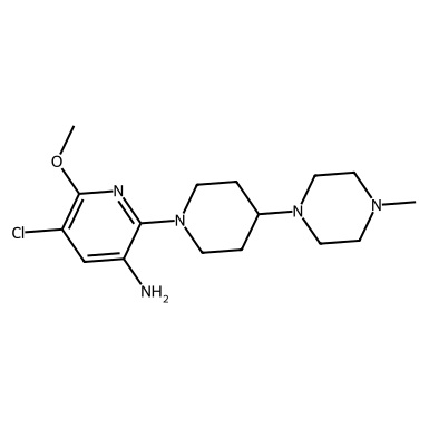 COc1nc(N2CCC(N3CCN(C)CC3)CC2)c(N)cc1Cl